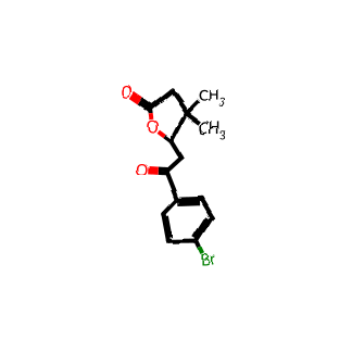 CC1(C)CC(=O)OC1CC(=O)c1ccc(Br)cc1